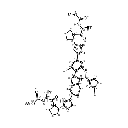 COC(=O)N[C@H](C(=O)N1CCC[C@H]1c1ncc(-c2cc(F)c3c(c2)OC(c2cnc(C)s2)n2c-3cc3cc(-c4cnc([C@@H]5CCCN5C(=O)[C@@H](NC(=O)OC)C(C)C)[nH]4)ccc32)[nH]1)C(C)C